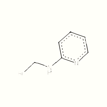 BrCNc1ccccn1